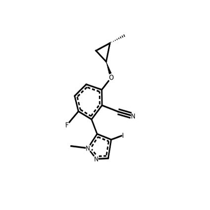 C[C@H]1C[C@@H]1Oc1ccc(F)c(-c2c(I)cnn2C)c1C#N